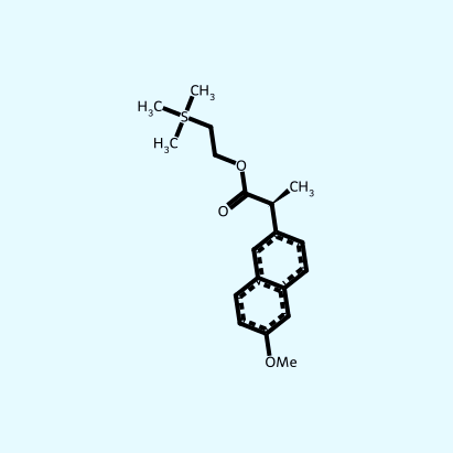 COc1ccc2cc([C@H](C)C(=O)OCCS(C)(C)C)ccc2c1